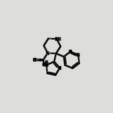 O=C(O)N1CCNCC1(c1cccnn1)c1ncc[nH]1